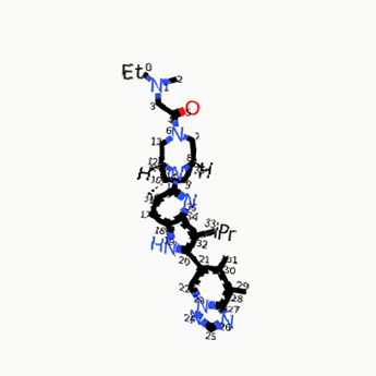 CCN(C)CC(=O)N1C[C@H]2C[C@H](C)[C@@H](C1)N2c1ccc2[nH]c(-c3cn4ncnc4c(C)c3C)c(C(C)C)c2n1